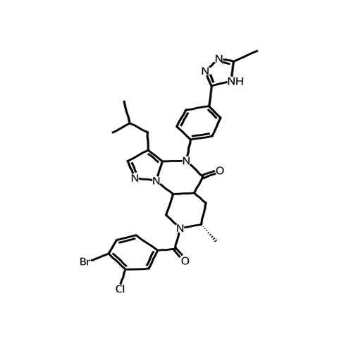 Cc1nnc(-c2ccc(N3C(=O)C4C[C@H](C)N(C(=O)c5ccc(Br)c(Cl)c5)CC4n4ncc(CC(C)C)c43)cc2)[nH]1